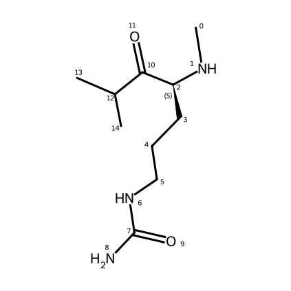 CN[C@@H](CCCNC(N)=O)C(=O)C(C)C